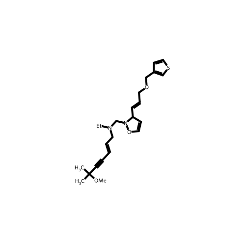 CCN(C/C=C/C#CC(C)(C)OC)CN1OC=CC1/C=C/COCc1ccsc1